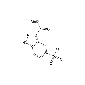 COC(=O)c1n[nH]c2ccc(S(=O)(=O)Cl)cc12